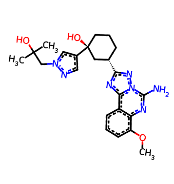 COc1cccc2c1nc(N)n1nc([C@H]3CCC[C@@](O)(c4cnn(CC(C)(C)O)c4)C3)nc21